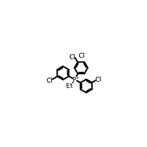 CC[P+](c1cccc(Cl)c1)(c1cccc(Cl)c1)c1cccc(Cl)c1.[Cl-]